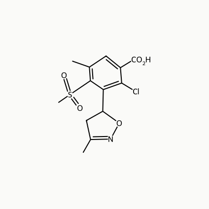 CC1=NOC(c2c(Cl)c(C(=O)O)cc(C)c2S(C)(=O)=O)C1